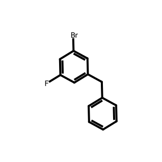 Fc1cc(Br)cc(Cc2ccccc2)c1